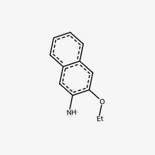 CCOc1cc2ccccc2cc1[NH]